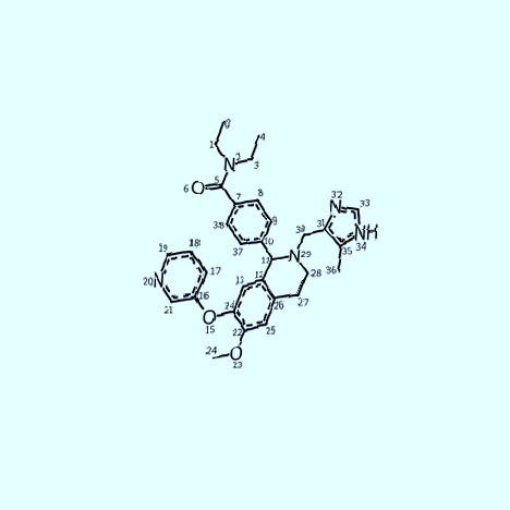 CCN(CC)C(=O)c1ccc(C2c3cc(Oc4cccnc4)c(OC)cc3CCN2Cc2nc[nH]c2C)cc1